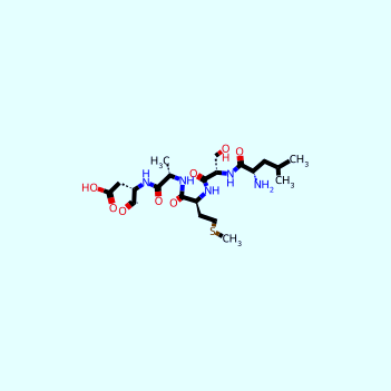 CSCC[C@H](NC(=O)[C@H](CO)NC(=O)[C@@H](N)CC(C)C)C(=O)N[C@@H](C)C(=O)N[C@H]([C]=O)CC(=O)O